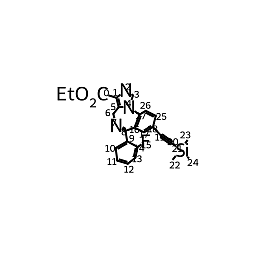 CCOC(=O)c1ncn2c1CN=C(c1ccccc1F)c1cc(C#C[Si](C)(C)C)ccc1-2